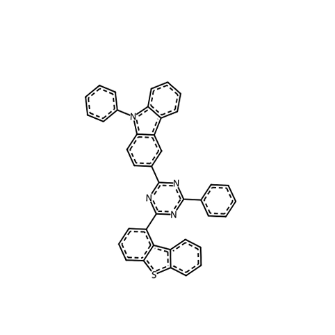 c1ccc(-c2nc(-c3ccc4c(c3)c3ccccc3n4-c3ccccc3)nc(-c3cccc4sc5ccccc5c34)n2)cc1